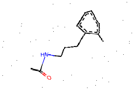 CC(=O)NCCCc1ccccc1C